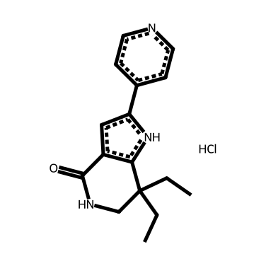 CCC1(CC)CNC(=O)c2cc(-c3ccncc3)[nH]c21.Cl